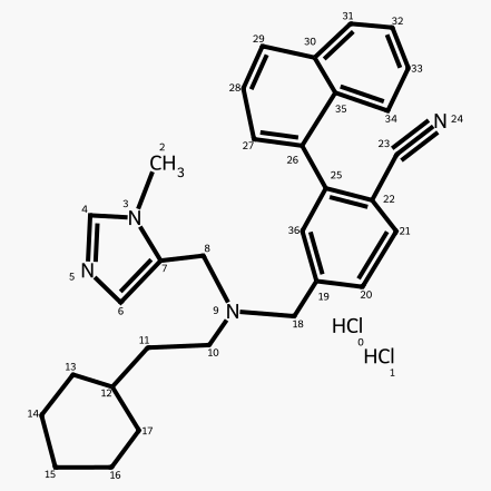 Cl.Cl.Cn1cncc1CN(CCC1CCCCC1)Cc1ccc(C#N)c(-c2cccc3ccccc23)c1